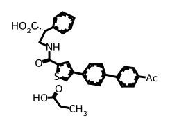 CC(=O)c1ccc(-c2ccc(-c3csc(C(=O)NC[C@H](C(=O)O)c4ccccc4)c3)cc2)cc1.CCC(=O)O